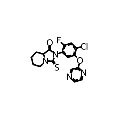 O=C1C2CCCCN2C(=S)N1c1cc(Oc2cnccn2)c(Cl)cc1F